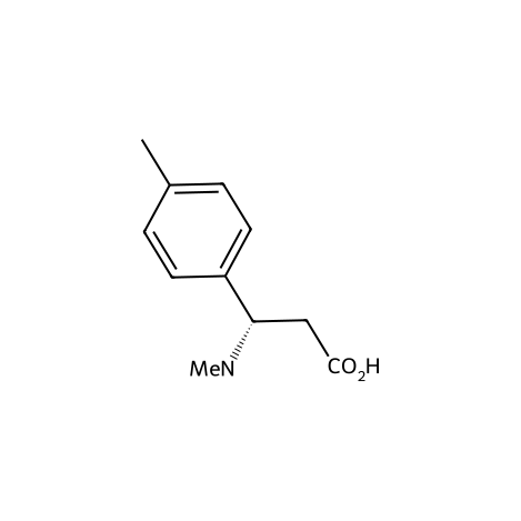 CN[C@@H](CC(=O)O)c1ccc(C)cc1